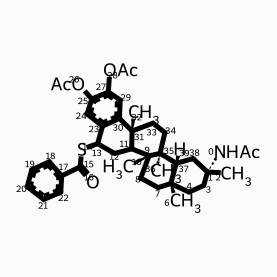 CC(=O)N[C@]1(C)CC[C@]2(C)CC[C@]3(C)C4CC(SC(=O)c5ccccc5)c5cc(OC(C)=O)c(OC(C)=O)cc5[C@]4(C)CC[C@@]3(C)[C@@H]2C1